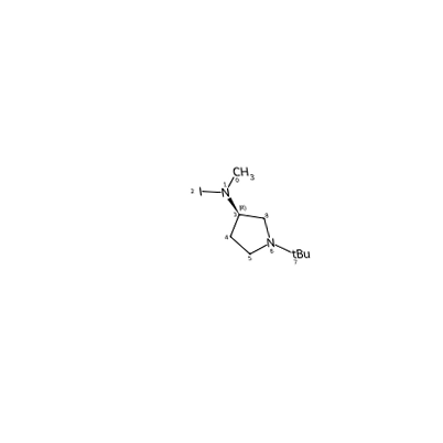 CN(I)[C@@H]1CCN(C(C)(C)C)C1